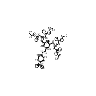 CCOC(=O)CN(CC(=O)OCC)Cc1cc(CCc2ccc([N+](=O)[O-])cc2)cc(CN(CC(=O)OCC)CC(=O)OCC)n1